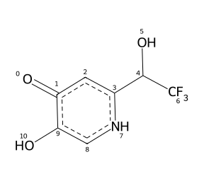 O=c1cc(C(O)C(F)(F)F)[nH]cc1O